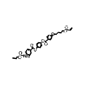 C=CCOC(=O)Nc1ccc(C(=O)Oc2ccc(OC(=O)c3ccc(OCCCCOC(=O)C=C)cc3)cc2)cc1